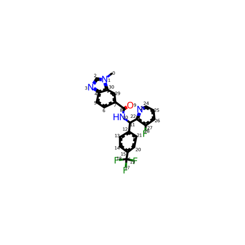 Cn1cnc2ccc(C(=O)NC(c3ccc(C(F)(F)F)cc3)c3ncccc3F)cc21